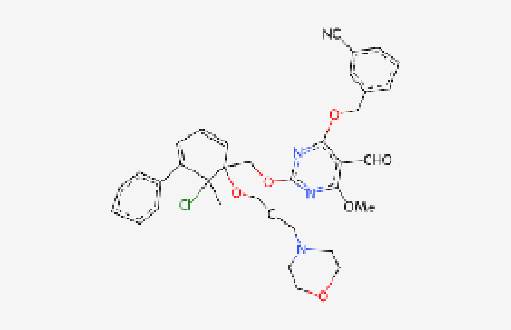 COc1nc(OCC2(OCCCN3CCOCC3)C=CC=C(c3ccccc3)C2(C)Cl)nc(OCc2cccc(C#N)c2)c1C=O